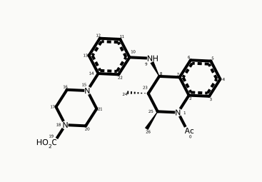 CC(=O)N1c2ccccc2[C@H](Nc2cccc(N3CCN(C(=O)O)CC3)c2)[C@@H](C)[C@@H]1C